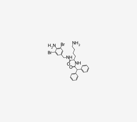 NCCCCC(NC(=O)C(c1ccccc1)c1ccccc1)C(=O)NCc1cc(Br)c(N)c(Br)c1